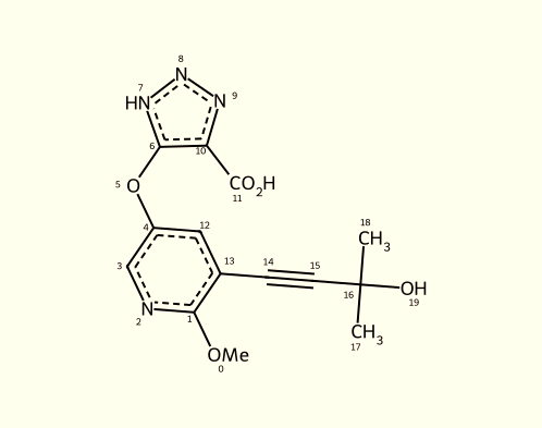 COc1ncc(Oc2[nH]nnc2C(=O)O)cc1C#CC(C)(C)O